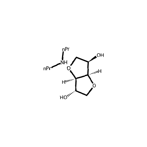 CCCNCCC.O[C@@H]1CO[C@H]2[C@@H]1OC[C@@H]2O